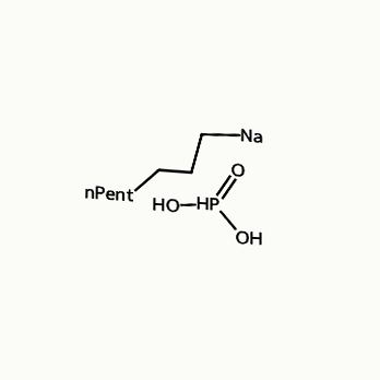 CCCCCCC[CH2][Na].O=[PH](O)O